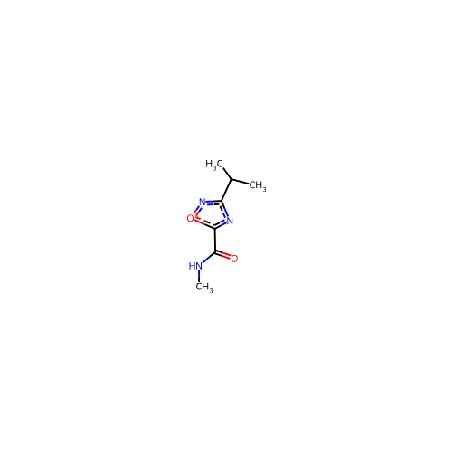 CNC(=O)c1nc(C(C)C)no1